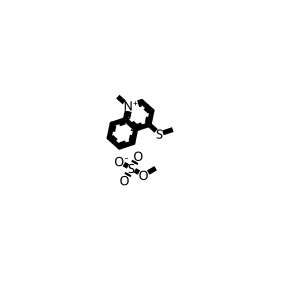 COS(=O)(=O)[O-].CSc1cc[n+](C)c2ccccc12